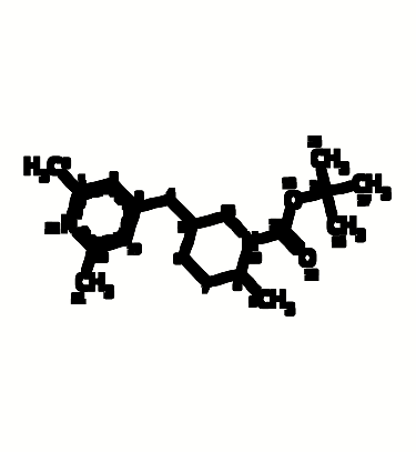 Cc1cc(CC2CCC(C)N(C(=O)OC(C)(C)C)C2)cc(C)n1